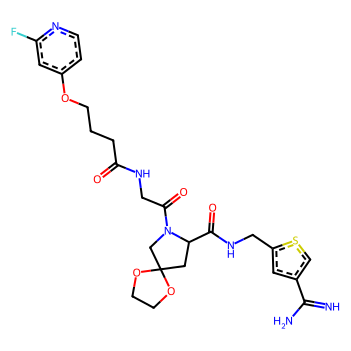 N=C(N)c1csc(CNC(=O)C2CC3(CN2C(=O)CNC(=O)CCCOc2ccnc(F)c2)OCCO3)c1